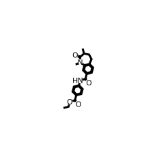 CCOC(=O)c1ccc(NC(=O)c2ccc3c(c2)N(C)C(=O)C(C)CC3)cc1